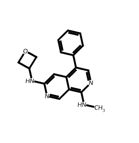 CNc1ncc(-c2ccccc2)c2cc(NC3COC3)ncc12